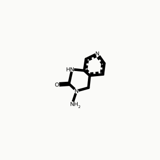 NN1Cc2ccncc2NC1=O